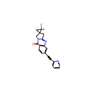 O=c1c2ccc(C#Cc3ccccn3)cc2nc2n1CC1(C2)CC1(F)F